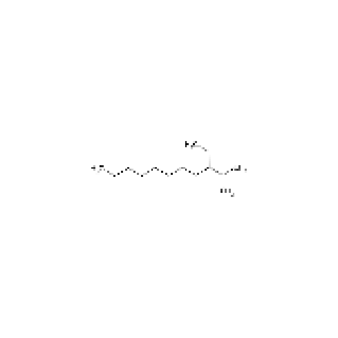 [CH2]C(C)C(CC)CCCCCCCC